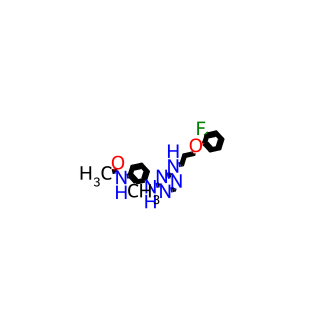 CC(=O)Nc1cccc(Nc2ncnc(NCCCOc3ccccc3F)n2)c1C